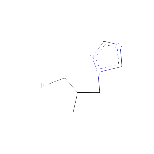 CC(CC=O)Cn1cncn1